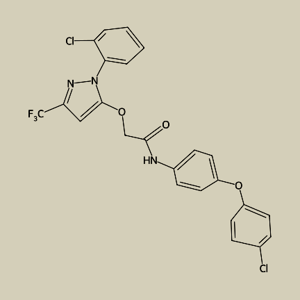 O=C(COc1cc(C(F)(F)F)nn1-c1ccccc1Cl)Nc1ccc(Oc2ccc(Cl)cc2)cc1